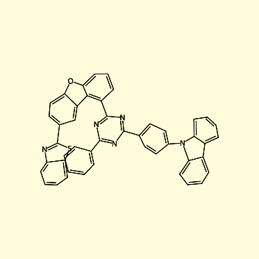 c1ccc(-c2nc(-c3ccc(-n4c5ccccc5c5ccccc54)cc3)nc(-c3cccc4oc5ccc(-c6nc7ccccc7s6)cc5c34)n2)cc1